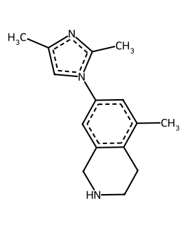 Cc1cn(-c2cc(C)c3c(c2)CNCC3)c(C)n1